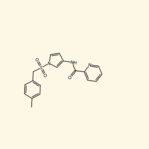 Cc1ccc(CS(=O)(=O)n2ccc(NC(=O)c3ccccn3)c2)cc1